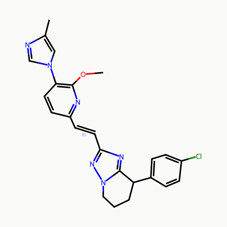 COc1nc(/C=C/c2nc3n(n2)CCCC3c2ccc(Cl)cc2)ccc1-n1cnc(C)c1